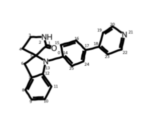 O=C1NCCC12Cc1ccccc1N2c1ccc(-c2ccncc2)cc1